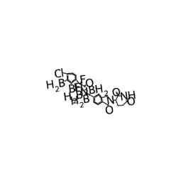 Bc1c(Cl)ccc(C(F)(F)C(=O)N(B)C(B)(B)c2ccc3c(c2)CN(C2CCC(=O)NC2=O)C3=O)c1B